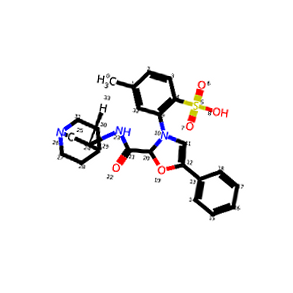 Cc1ccc(S(=O)(=O)O)c(N2C=C(c3ccccc3)OC2C(=O)N[C@H]2CN3CCC2CC3)c1